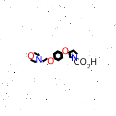 O=C(O)N1CC[C@H](Oc2ccc(OCCN3CCOCC3)cc2)C1